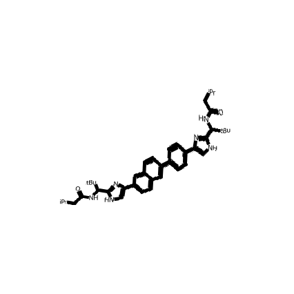 CC(C)CC(=O)NC(c1nc(-c2ccc(-c3ccc4cc(-c5c[nH]c(C(NC(=O)CC(C)C)C(C)(C)C)n5)ccc4c3)cc2)c[nH]1)C(C)(C)C